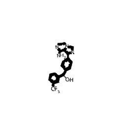 Nc1nccn2cnc(-c3ccc([C@H](O)c4cccc(C(F)(F)F)c4)cc3)c12